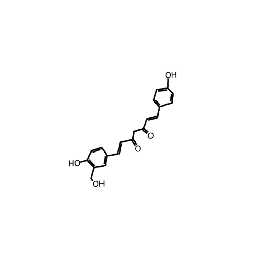 O=C(/C=C/c1ccc(O)cc1)CC(=O)/C=C/c1ccc(O)c(CO)c1